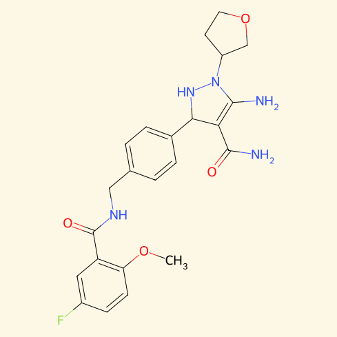 COc1ccc(F)cc1C(=O)NCc1ccc(C2NN(C3CCOC3)C(N)=C2C(N)=O)cc1